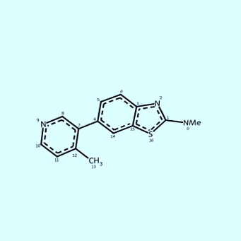 CNc1nc2ccc(-c3cnccc3C)cc2s1